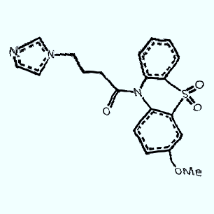 COc1ccc2c(c1)S(=O)(=O)c1ccccc1N2C(=O)CCCn1ccnc1